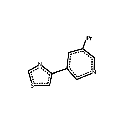 CC(C)c1cncc(-c2cscn2)c1